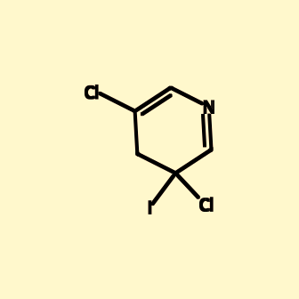 ClC1=CN=CC(Cl)(I)C1